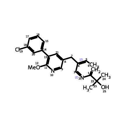 C=C(/N=C\C(=C/C)Cc1cnc(OC)c(-c2cccc(Cl)c2)c1)C(C)(C)O